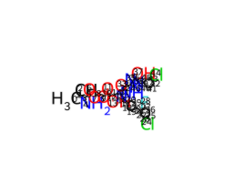 CC(C)[C@H](N)C(=O)OCOC(=O)[C@H](O)CN(Cc1ccc(-c2cc(Cl)ccc2F)cc1)NC(=O)c1nc(O)n(-c2cccc(Cl)c2)n1